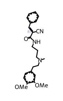 COc1ccc(CCN(C)CCCNC(=O)/C(C#N)=C/c2ccccc2)cc1OC